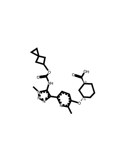 Cc1nc(-c2nnn(C)c2NC(=O)OC2CC3(CC3)C2)ccc1O[C@H]1CCC[C@H](C(=O)O)C1